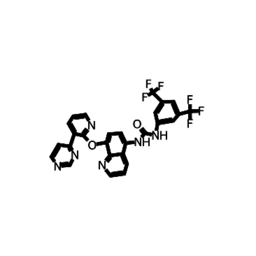 O=C(Nc1cc(C(F)(F)F)cc(C(F)(F)F)c1)Nc1ccc(Oc2ncccc2-c2ccncn2)c2ncccc12